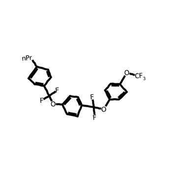 CCCc1ccc(C(F)(F)Oc2ccc(C(F)(F)Oc3ccc(OC(F)(F)F)cc3)cc2)cc1